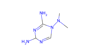 CN(C)N1C=NC(N)N=C1N